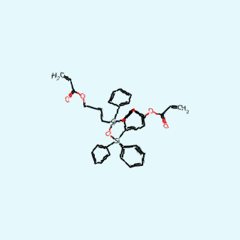 C=CC(=O)OCCC[Si](CCCOC(=O)C=C)(O[Si](c1ccccc1)(c1ccccc1)c1ccccc1)c1ccccc1